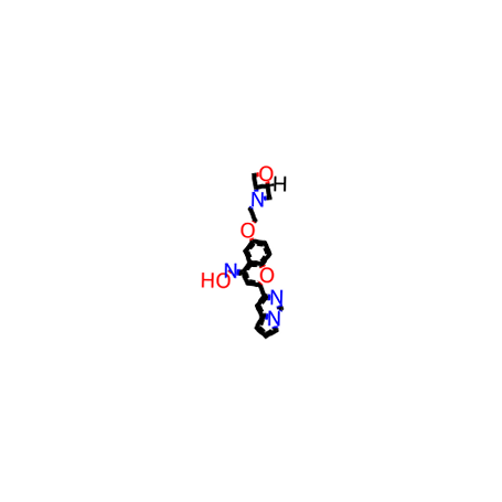 O/N=c1\cc(-c2cc3cccn3cn2)oc2ccc(OCCN3C[C@H]4OCC43)cc12